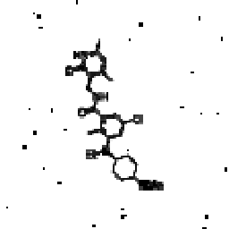 CCN(c1cc(Cl)cc(C(=O)NCc2c(C)cc(C)[nH]c2=O)c1C)C1CCC(NC)CC1